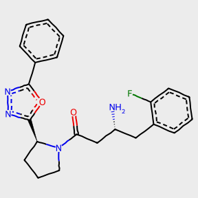 N[C@@H](CC(=O)N1CCC[C@H]1c1nnc(-c2ccccc2)o1)Cc1ccccc1F